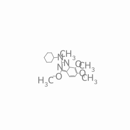 CCOc1nc(N(C)C2CCCCC2)nc2c(OC)c(OC)ccc12